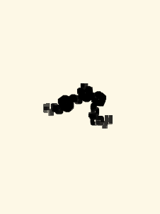 O=C(O)COC[C@@H]1CCCN1c1cncc(OCc2ccc(OC(F)(F)F)cc2)c1